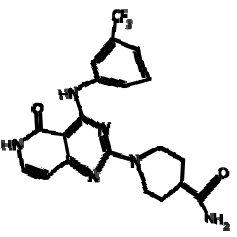 NC(=O)C1CCN(c2nc(Nc3cccc(C(F)(F)F)c3)c3c(=O)[nH]ccc3n2)CC1